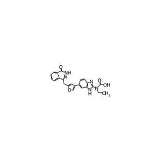 CCN(C(=O)O)c1nc2ccc(-c3coc(Cc4n[nH]c(=O)c5ccccc45)c3)cc2[nH]1